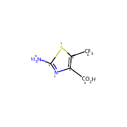 Nc1nc(C(=O)O)c(C(F)(F)F)s1